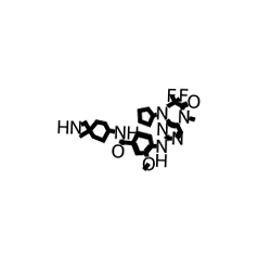 COc1cc(C(=O)NC2CCC3(CC2)CNC3)ccc1Nc1ncc2c(n1)N(C1CCCC1)CC(F)(F)C(=O)N2C